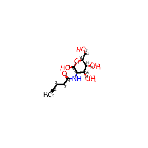 C#CCCC(=O)N[C@H]1C(O)OC(CO)[C@@H](O)C1O